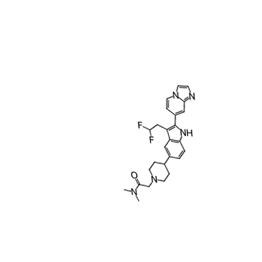 CN(C)C(=O)CN1CCC(c2ccc3[nH]c(-c4ccn5ccnc5c4)c(CC(F)F)c3c2)CC1